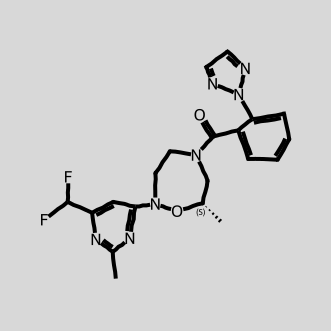 Cc1nc(C(F)F)cc(N2CCN(C(=O)c3ccccc3-n3nccn3)C[C@H](C)O2)n1